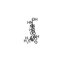 Cc1cc(-c2ccccc2)c(C(=O)C(=O)Nc2ccc3c(c2)OC[C@H]2CN(c4ncc(NCCO)cn4)CCN32)n1C